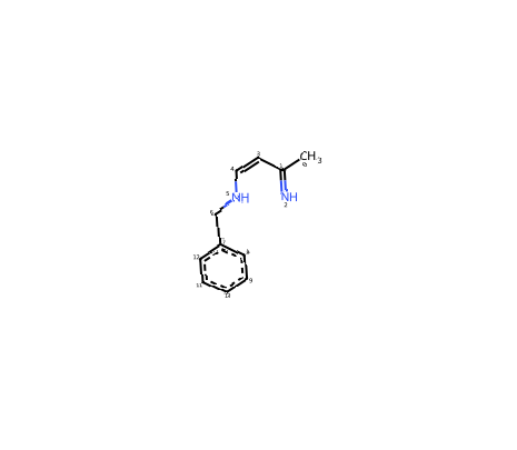 CC(=N)/C=C\NCc1ccccc1